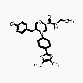 CCNC(=O)[C@H]1CN(C2CC=C(c3nc(C)c(C)s3)CC2)[C@@H](Cc2ccc(Cl)cc2)CO1